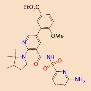 CCOC(=O)c1ccc(OC)c(-c2cnc(N3CCC(C)C3(C)C)c(C(=O)NS(=O)(=O)c3cccc(N)n3)c2)c1